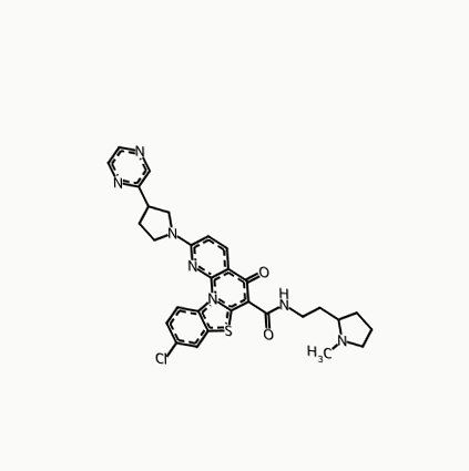 CN1CCCC1CCNC(=O)c1c(=O)c2ccc(N3CCC(c4cnccn4)C3)nc2n2c1sc1cc(Cl)ccc12